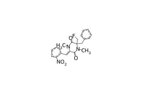 CN1C(=O)C(CF)(Cc2ccccc2)N(C)C(=O)C1=Cc1ccccc1[N+](=O)[O-]